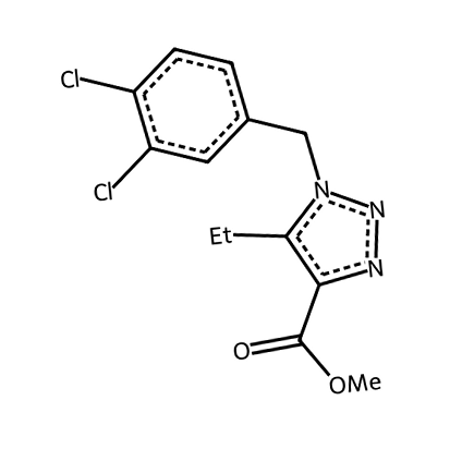 CCc1c(C(=O)OC)nnn1Cc1ccc(Cl)c(Cl)c1